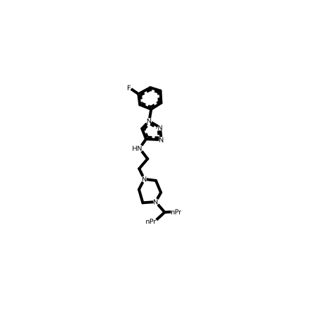 CCCC(CCC)N1CCN(CCNc2cn(-c3cccc(F)c3)nn2)CC1